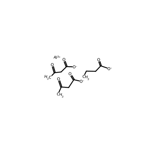 CC(=O)CC(=O)[O-].CC(=O)CC(=O)[O-].CCCC(=O)[O-].[Al+3]